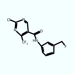 O=C(Nc1cccc(CF)c1)c1cnc(Cl)nc1C(F)(F)F